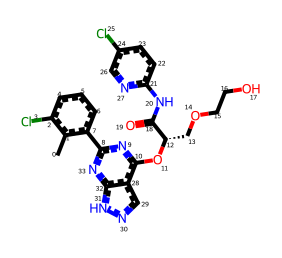 Cc1c(Cl)cccc1-c1nc(O[C@@H](COCCO)C(=O)Nc2ccc(Cl)cn2)c2cn[nH]c2n1